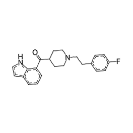 O=C(c1cccc2cc[nH]c12)C1CCN(CCc2ccc(F)cc2)CC1